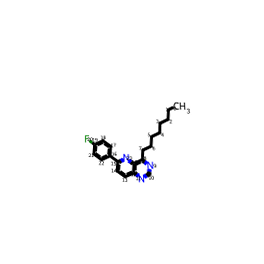 CCCCCCCCc1ncnc2ccc(-c3ccc(F)cc3)nc12